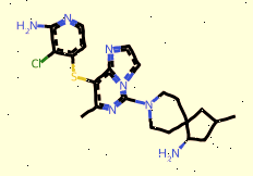 Cc1nc(N2CCC3(CC2)CC(C)C[C@H]3N)n2ccnc2c1Sc1ccnc(N)c1Cl